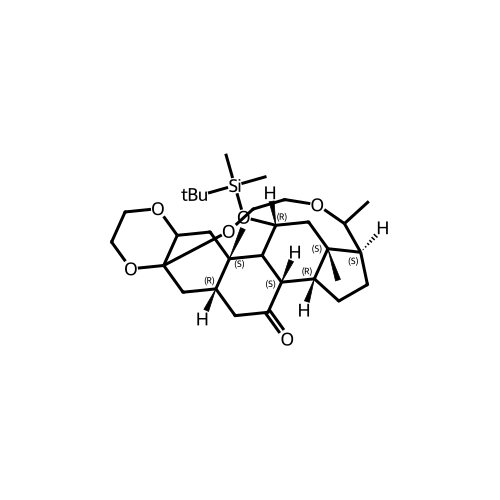 CC1OCCOC23C[C@H]4CC(=O)[C@@H]5C([C@H](O[Si](C)(C)C(C)(C)C)C[C@]6(C)[C@@H]1CC[C@H]56)[C@@]4(C)CC2OCCO3